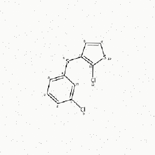 Clc1cccc(Sc2c[c]sc2Cl)c1